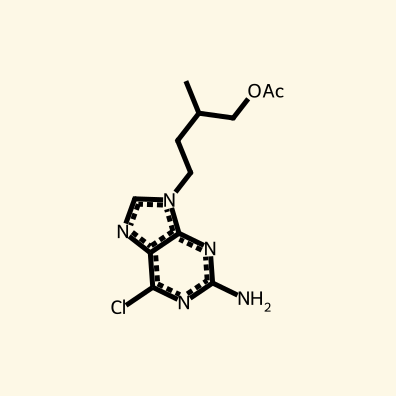 CC(=O)OCC(C)CCn1cnc2c(Cl)nc(N)nc21